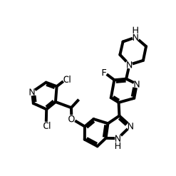 CC(Oc1ccc2[nH]nc(-c3cnc(N4CCNCC4)c(F)c3)c2c1)c1c(Cl)cncc1Cl